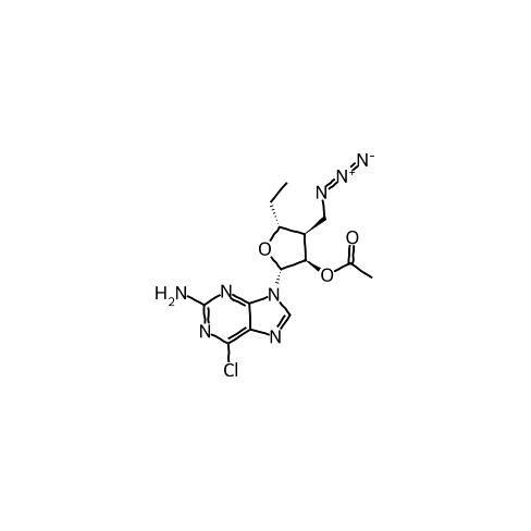 CC[C@H]1O[C@@H](n2cnc3c(Cl)nc(N)nc32)[C@H](OC(C)=O)[C@@H]1CN=[N+]=[N-]